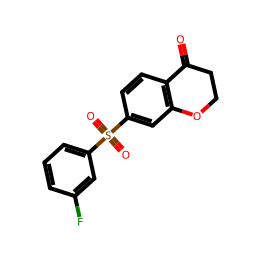 O=C1CCOc2cc(S(=O)(=O)c3cccc(F)c3)ccc21